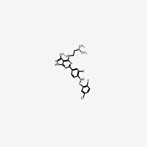 Cc1n[nH]c2nc(-c3ccc(NSc4cc(Cl)ccc4F)c(F)c3)nc(NCCN(C)C)c12